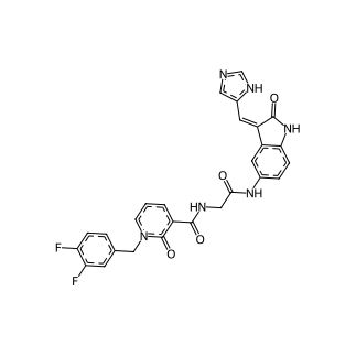 O=C(CNC(=O)c1cccn(Cc2ccc(F)c(F)c2)c1=O)Nc1ccc2c(c1)/C(=C/c1cnc[nH]1)C(=O)N2